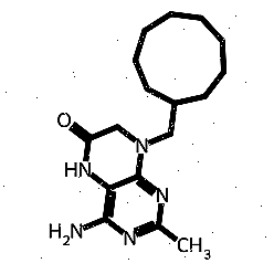 Cc1nc(N)c2c(n1)N(CC1CCCCCCCC1)CC(=O)N2